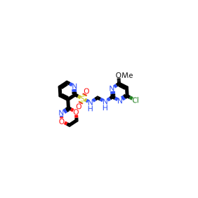 COc1cc(Cl)nc(NCNS(=O)(=O)c2ncccc2C2=NOCCO2)n1